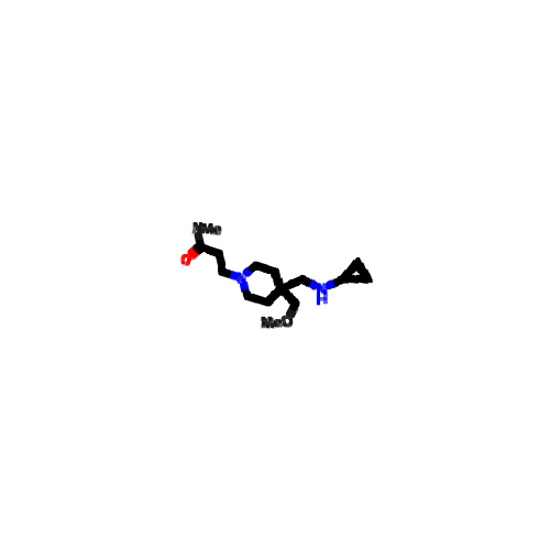 CNC(=O)CCN1CCC(CNC2CC2)(COC)CC1